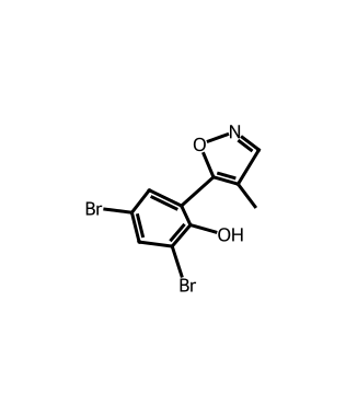 Cc1cnoc1-c1cc(Br)cc(Br)c1O